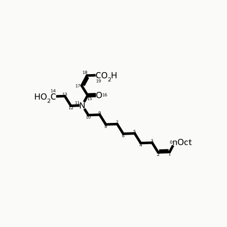 CCCCCCCC/C=C\CCCCCCCCN(CCC(=O)O)C(=O)/C=C\C(=O)O